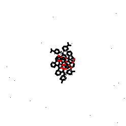 Cc1ccc(N(c2ccc(C)c(-c3cccc4c5c(c6ccccc6c34)-c3c(cc(N(c4ccc(C(C)C)cc4)c4ccc(C(C)C)cc4)c4ccccc34)C53c4ccccc4-c4ccccc43)c2)c2cc3c(c4ccccc24)-c2c(c4ccccc4c4ccccc24)C32c3ccccc3-c3ccccc32)cc1